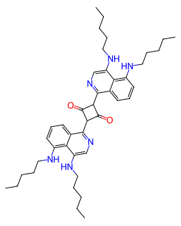 CCCCCNc1cccc2c(C3C(=O)C(c4ncc(NCCCCC)c5c(NCCCCC)cccc45)C3=O)ncc(NCCCCC)c12